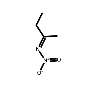 CC/C(C)=N/[N+](=O)[O-]